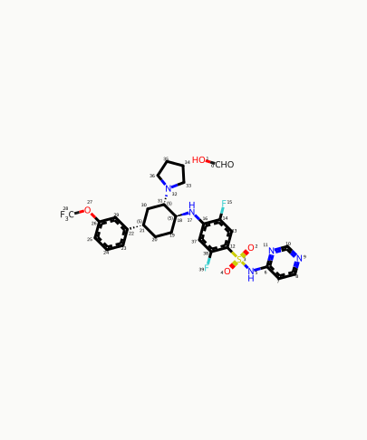 O=CO.O=S(=O)(Nc1ccncn1)c1cc(F)c(N[C@H]2CC[C@H](c3cccc(OC(F)(F)F)c3)C[C@@H]2N2CCCC2)cc1F